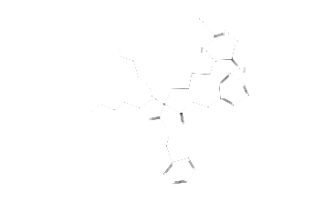 CCCCCN(CCCCC)C(CCCCN(NC(=N)N)C(=N)N)(C(=O)OCc1ccccc1)C(=O)OCc1ccccc1